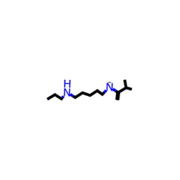 C=C(C(C)C)N(C)CCCCCNCCC